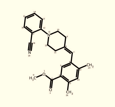 COC(=O)c1cc(C=C2CCN(c3ccccc3C#N)CC2)c(C)cc1C